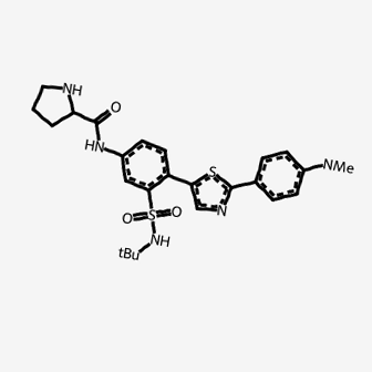 CNc1ccc(-c2ncc(-c3ccc(NC(=O)C4CCCN4)cc3S(=O)(=O)NC(C)(C)C)s2)cc1